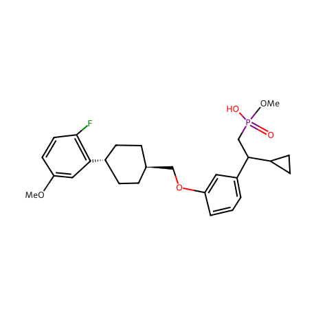 COc1ccc(F)c([C@H]2CC[C@H](COc3cccc(C(CP(=O)(O)OC)C4CC4)c3)CC2)c1